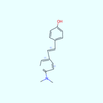 C=C(\C=C/C(=C\C)/C=C/c1ccc(O)cc1)N(C)C